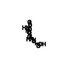 COc1cccc(Nc2nc3ccc(CC(=O)CNc4ccc(C(C)CC(=O)O)cn4)cc3o2)c1